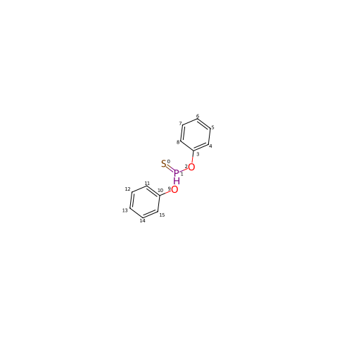 S=[PH](Oc1ccccc1)Oc1ccccc1